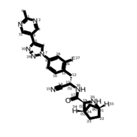 Cc1ncc(-c2cn(-c3ccc(C[C@@H](C#N)NC(=O)[C@H]4N[C@@H]5CC[C@H]4C5)c(F)c3)nn2)cn1